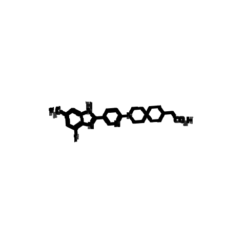 O=C(O)CC1CCC2(CC1)CCN(c1ccc(-c3nc4c(F)cc(C(F)(F)F)cc4[nH]3)cn1)CC2